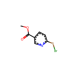 COC(=O)c1ccc(SBr)nc1